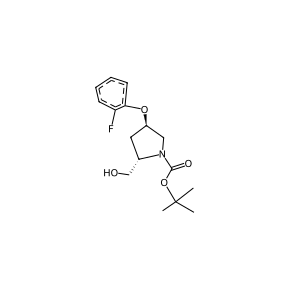 CC(C)(C)OC(=O)N1C[C@H](Oc2ccccc2F)C[C@H]1CO